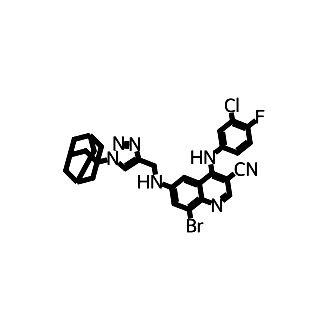 N#Cc1cnc2c(Br)cc(NCc3cn(C45CC6CC(CC(C6)C4)C5)nn3)cc2c1Nc1ccc(F)c(Cl)c1